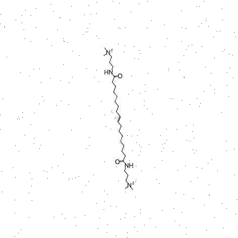 C[N+](C)(C)CCCNC(=O)CCCCCCC/C=C/CCCCCCCC(=O)NCCC[N+](C)(C)C